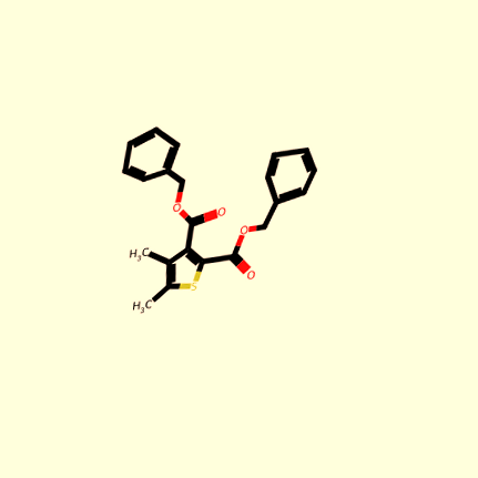 Cc1sc(C(=O)OCc2ccccc2)c(C(=O)OCc2ccccc2)c1C